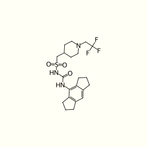 O=C(Nc1c2c(cc3c1CCC3)CCC2)NS(=O)(=O)CC1CCN(CC(F)(F)F)CC1